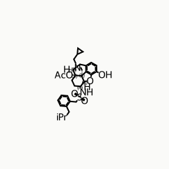 CC(=O)O[C@@]12CC[C@@H](NS(=O)(=O)Cc3ccccc3CC(C)C)[C@@H]3Oc4c(O)ccc5c4[C@@]31CCN(CC1CC1)[C@@H]2C5